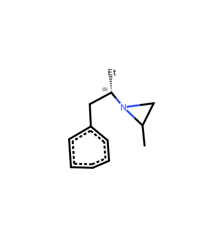 CC[C@@H](Cc1ccccc1)N1CC1C